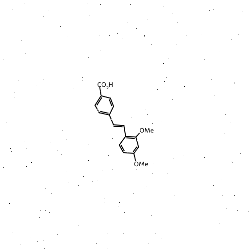 COc1ccc(/C=C/c2ccc(C(=O)O)cc2)c(OC)c1